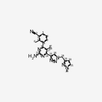 Cc1c(C#N)cccc1-c1nc(N)nc(-c2cn(Cc3ccn(C)n3)nn2)c1F